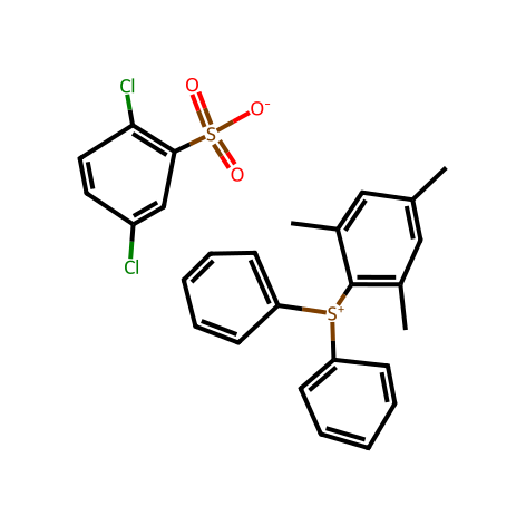 Cc1cc(C)c([S+](c2ccccc2)c2ccccc2)c(C)c1.O=S(=O)([O-])c1cc(Cl)ccc1Cl